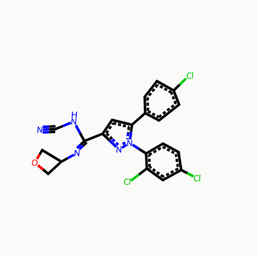 N#CNC(=NC1COC1)c1cc(-c2ccc(Cl)cc2)n(-c2ccc(Cl)cc2Cl)n1